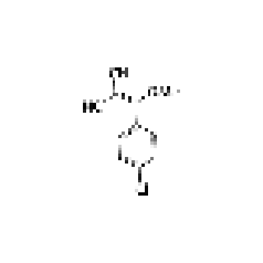 COC(=C(C#N)C#N)c1ccc(Cl)cc1